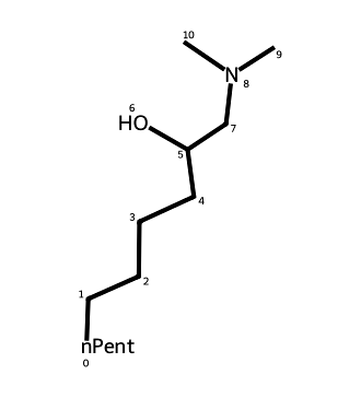 CCCCCCCCCC(O)CN(C)C